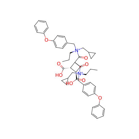 CCC[N@@+](Cc1ccc(Oc2ccccc2)cc1)(CC1CC1)C(=O)C1(C(=O)[N@+](CCC)(Cc2ccc(Oc3ccccc3)cc2)CC2CC2)C[C@@H](C(=O)O)[C@@H]1C(=O)O